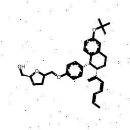 C=C(/C=C\C=C/C)[C@H]1CCc2cc(OC(C)(C)C)ccc2[C@H]1c1ccc(OCC2CC[C@@H](CO)O2)cc1